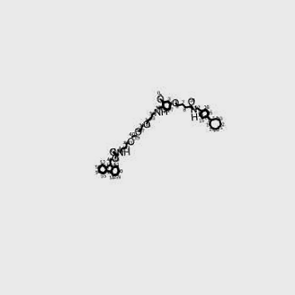 COc1cc(OCCCC(=O)NCc2ccc(C3CCCCCCC3)cc2)ccc1CNCCCOCCOCCOCCCNC(=O)OCC1c2ccccc2-c2ccccc21